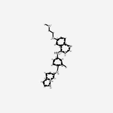 COCCOc1ccc2ncnc(Nc3ccc(Oc4ccc5ccnn5c4)c(C)c3)c2c1